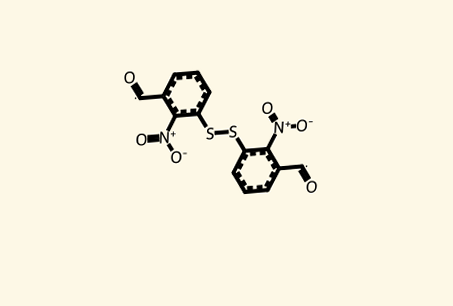 O=[C]c1cccc(SSc2cccc([C]=O)c2[N+](=O)[O-])c1[N+](=O)[O-]